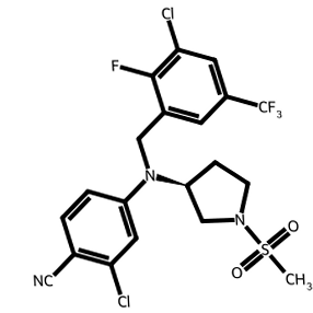 CS(=O)(=O)N1CC[C@H](N(Cc2cc(C(F)(F)F)cc(Cl)c2F)c2ccc(C#N)c(Cl)c2)C1